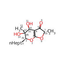 CCCCCCC[C@@H]1OC2=C(C(=O)[C@H](C)O2)[C@H](O)[C@@]1(C)O